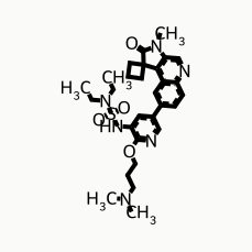 CCN(CC)S(=O)(=O)Nc1cc(-c2ccc3ncc4c(c3c2)C2(CCC2)C(=O)N4C)cnc1OCCCN(C)C